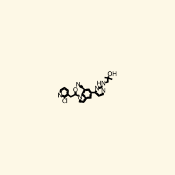 CC(C)(O)CNc1nccc(-c2cc(C#N)c3c(ccn3C(=O)Cc3cccnc3Cl)c2)n1